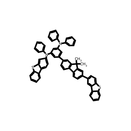 CC1(C)c2cc(-c3cc(N(c4ccccc4)c4ccccc4)cc(N(c4ccccc4)c4ccc5c(c4)sc4ccccc45)c3)ccc2-c2ccc(-c3ccc4sc5ccccc5c4c3)cc21